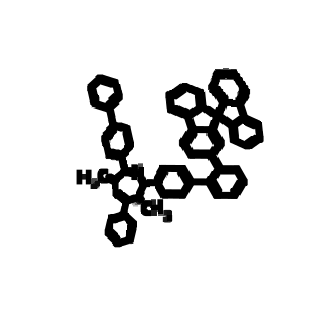 C=C1C=C(c2ccccc2)[C@H](C)C(c2ccc(-c3ccccc3-c3ccc4c(c3)C3(c5ccccc5-c5ccccc53)c3ccccc3-4)cc2)N=C1c1ccc(-c2ccccc2)cc1